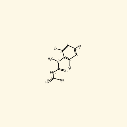 CCc1cc(Cl)c(N(C)C(=O)NC(=N)N)c(Cl)c1